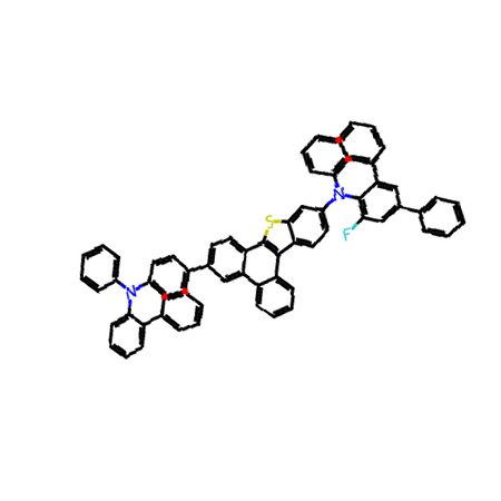 Fc1cc(-c2ccccc2)cc(-c2ccccc2)c1N(c1ccccc1)c1ccc2c(c1)sc1c3ccc(-c4ccc(N(c5ccccc5)c5ccccc5-c5ccccc5)cc4)cc3c3ccccc3c21